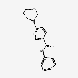 O=C(Nc1ccccc1)c1ccc(N2CCCCC2)nc1